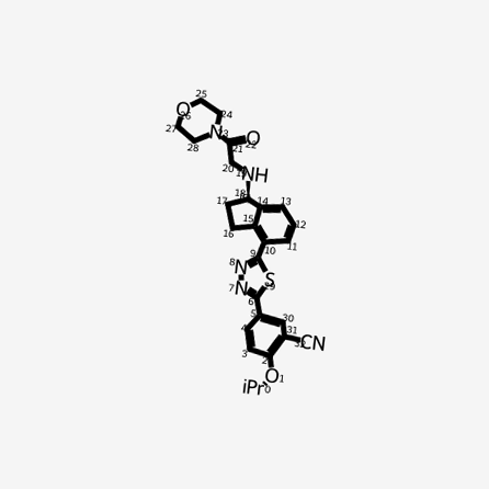 CC(C)Oc1ccc(-c2nnc(-c3cccc4c3CC[C@H]4NCC(=O)N3CCOCC3)s2)cc1C#N